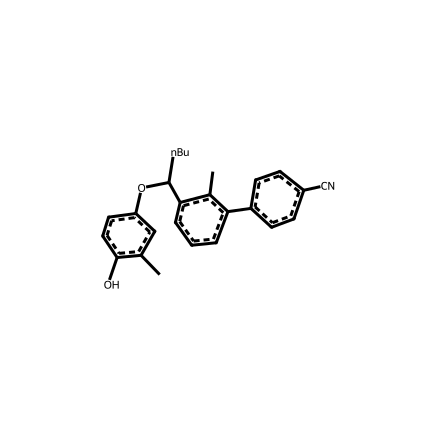 CCCCC(Oc1ccc(O)c(C)c1)c1cccc(-c2ccc(C#N)cc2)c1C